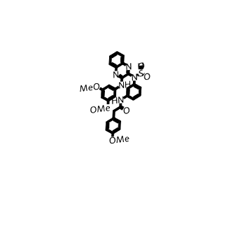 COc1ccc(CC(=O)Nc2cccc(N(c3nc4ccccc4nc3Nc3cc(OC)cc(OC)c3)[SH](=O)=O)c2)cc1